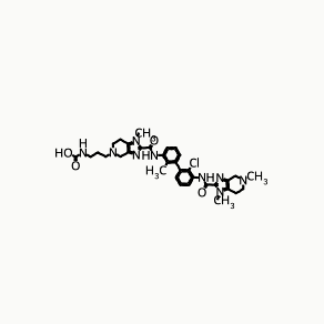 Cc1c(NC(=O)c2nc3c(n2C)CCN(CCCNC(=O)O)C3)cccc1-c1cccc(NC(=O)c2nc3c(n2C)CCN(C)C3)c1Cl